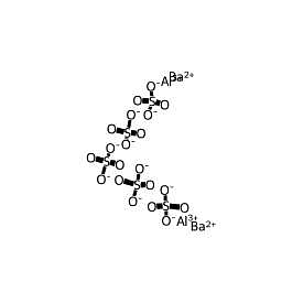 O=S(=O)([O-])[O-].O=S(=O)([O-])[O-].O=S(=O)([O-])[O-].O=S(=O)([O-])[O-].O=S(=O)([O-])[O-].[Al+3].[Al+3].[Ba+2].[Ba+2]